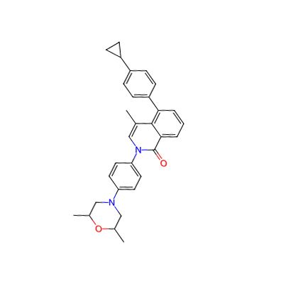 Cc1cn(-c2ccc(N3CC(C)OC(C)C3)cc2)c(=O)c2cccc(-c3ccc(C4CC4)cc3)c12